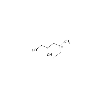 C[C@H](CF)CC(O)CO